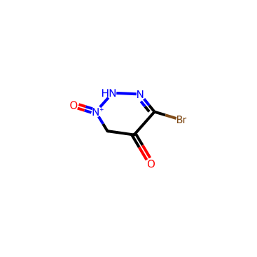 O=C1C[N+](=O)NN=C1Br